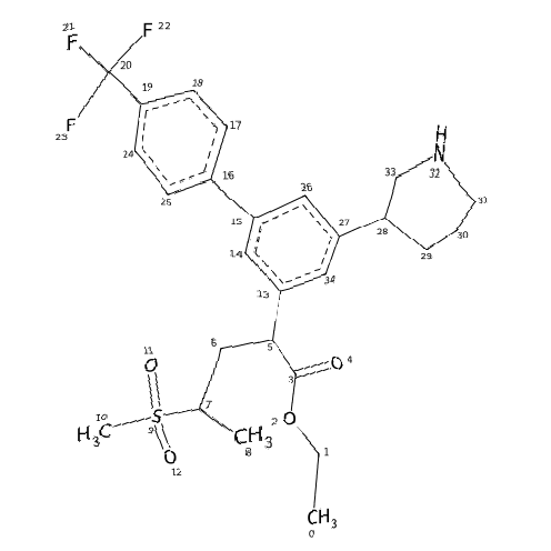 CCOC(=O)C(CC(C)S(C)(=O)=O)c1cc(-c2ccc(C(F)(F)F)cc2)cc(C2CCCNC2)c1